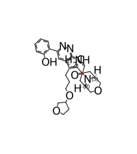 C=CC(=O)N1[C@@H]2COC[C@H]1CC(c1[nH]c3nnc(-c4ccccc4O)cc3c1CCCOC1CCOC1)C2